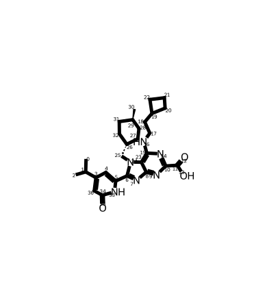 CC(C)c1cc(-c2nc3nc(C(=O)O)nc(NCCC4CCC4)c3n2C[C@H]2CC[C@H](C)CC2)[nH]c(=O)c1